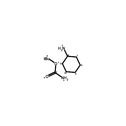 CC(C)(C)OC(N)=O.NC1CCCCC1